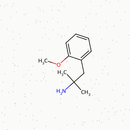 COc1ccccc1CC(C)(C)N